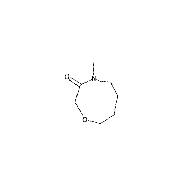 CN1CCCCOCC1=O